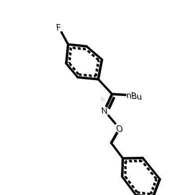 CCCC/C(=N\OCc1ccccc1)c1ccc(F)cc1